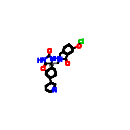 O=C1NC(=O)[C@](CN2Cc3ccc(OCl)cc3C2=O)(c2ccc(-c3cccnc3)cc2)N1